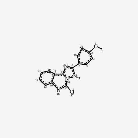 COc1ccc(-c2nc3c4ccccc4nc(Cl)n3n2)cc1